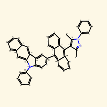 Cc1nn(-c2ccccc2)c(C)c1-c1c2ccccc2c(-c2ccc3c(c2)c2cc4ccccc4cc2n3-c2ccccc2)c2ccccc12